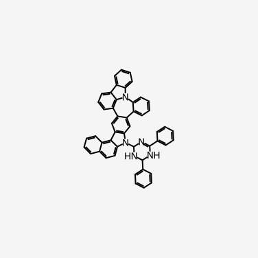 c1ccc(C2=NC(n3c4cc5c(cc4c4c6ccccc6ccc43)-c3cccc4c6ccccc6n(c34)-c3ccccc3-5)NC(c3ccccc3)N2)cc1